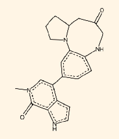 Cn1cc(-c2ccc3c(c2)N2CCCC2CC(=O)CN3)c2cc[nH]c2c1=O